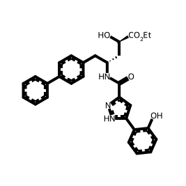 CCOC(=O)[C@H](O)C[C@@H](Cc1ccc(-c2ccccc2)cc1)NC(=O)c1cc(-c2ccccc2O)[nH]n1